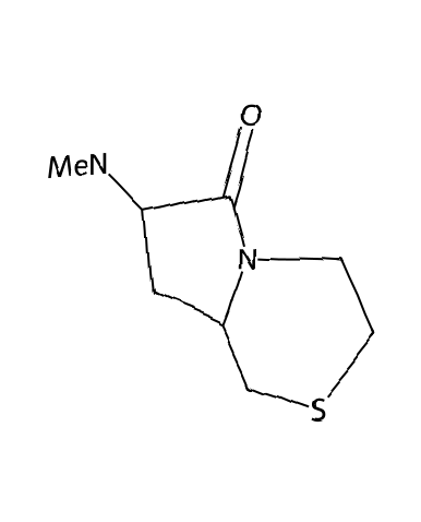 CNC1CC2CSCCN2C1=O